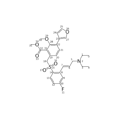 CCN(CC)C/C=C/c1cc(F)ccc1S(=O)(=O)Cc1ccc(-c2ccoc2)c(OC)c1C(=O)OC